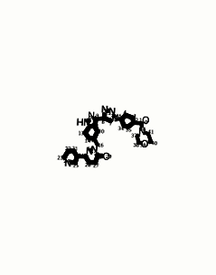 O=C(c1ccc(-n2cc(-c3n[nH]c4ccc(Cn5nc(-c6cccnc6)ccc5=O)cc34)nn2)cc1)N1CCOCC1